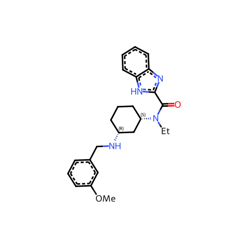 CCN(C(=O)c1nc2ccccc2[nH]1)[C@H]1CCC[C@@H](NCc2cccc(OC)c2)C1